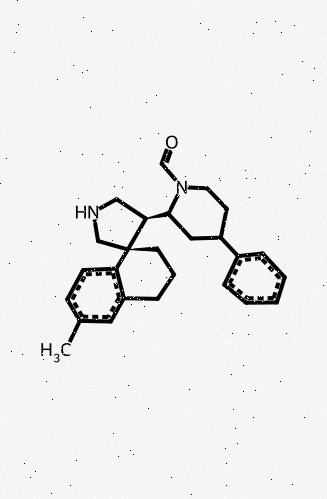 Cc1ccc2c(c1)CCC[C@]21CNC[C@H]1C1CC(c2ccccc2)CCN1C=O